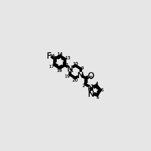 O=C(Cn1cccn1)N1CCN(c2ccc(F)cc2)CC1